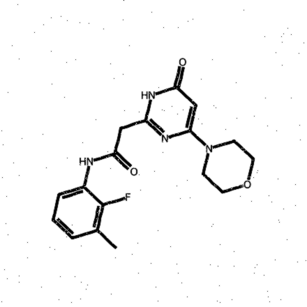 Cc1cccc(NC(=O)Cc2nc(N3CCOCC3)cc(=O)[nH]2)c1F